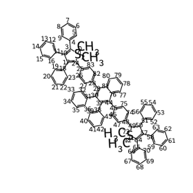 CS1(C)C(c2ccccc2)=C(c2ccccc2)C(c2ccccc2)=C1c1ccc(-c2c(-c3ccccc3)c(-c3ccccc3)c(-c3ccc(C4C(c5ccccc5)C(c5ccccc5)=C(c5ccccc5)S4(C)C)cc3)c3ccccc23)cc1